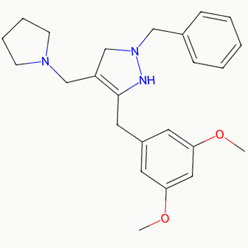 COc1cc(CC2=C(CN3CCCC3)CN(Cc3ccccc3)N2)cc(OC)c1